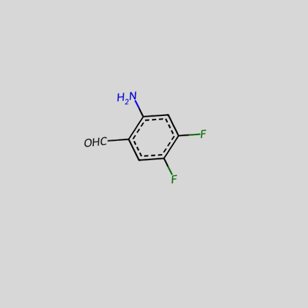 Nc1cc(F)c(F)cc1C=O